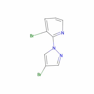 Brc1cnn(-c2ncccc2Br)c1